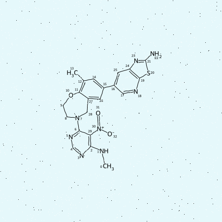 CNc1ncnc(N2CCOc3c(C)cc(-c4cnc5sc(N)nc5c4)cc3C2)c1[N+](=O)[O-]